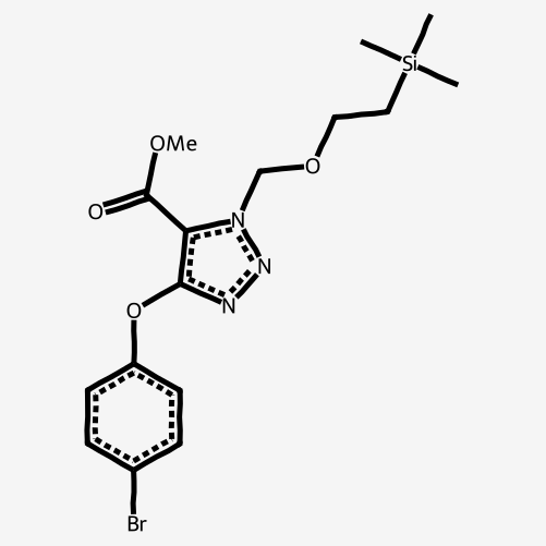 COC(=O)c1c(Oc2ccc(Br)cc2)nnn1COCC[Si](C)(C)C